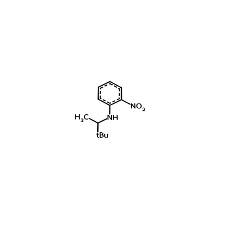 CC(Nc1ccccc1[N+](=O)[O-])C(C)(C)C